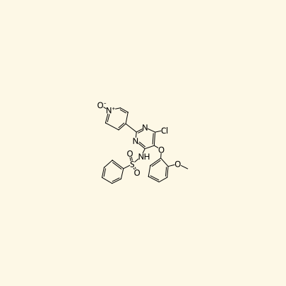 COc1ccccc1Oc1c(Cl)nc(-c2cc[n+]([O-])cc2)nc1NS(=O)(=O)c1ccccc1